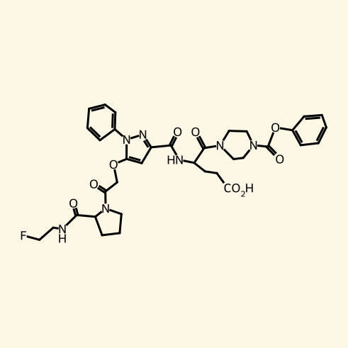 O=C(O)CCC(NC(=O)c1cc(OCC(=O)N2CCCC2C(=O)NCCF)n(-c2ccccc2)n1)C(=O)N1CCN(C(=O)Oc2ccccc2)CC1